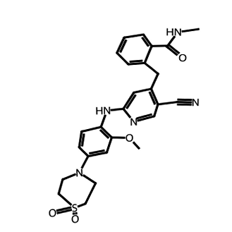 CNC(=O)c1ccccc1Cc1cc(Nc2ccc(N3CCS(=O)(=O)CC3)cc2OC)ncc1C#N